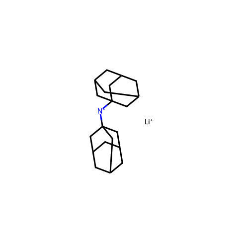 C1C2CC3CC1CC([N-]C14CC5CC(CC(C5)C1)C4)(C2)C3.[Li+]